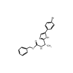 C[C@H](NC(=O)OCc1ccccc1)c1ncc(-c2ccc(Br)cc2)[nH]1